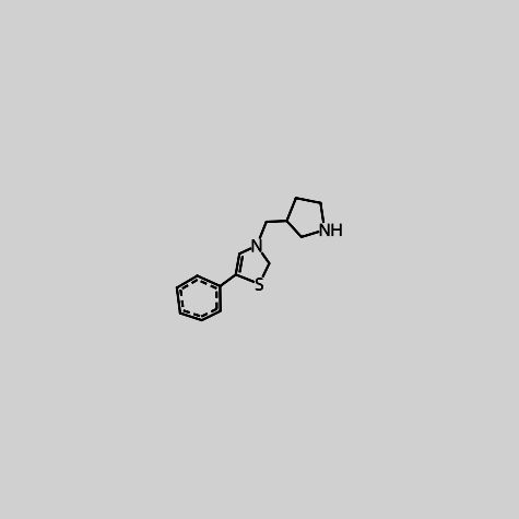 C1=C(c2ccccc2)SCN1CC1CCNC1